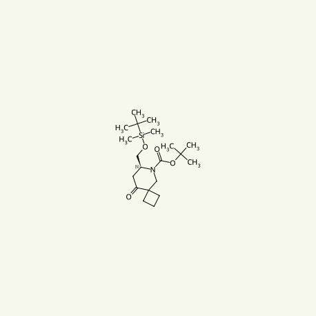 CC(C)(C)OC(=O)N1CC2(CCC2)C(=O)C[C@H]1CO[Si](C)(C)C(C)(C)C